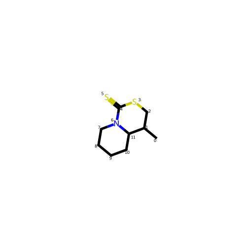 CC1CSC(=S)N2CCCCC12